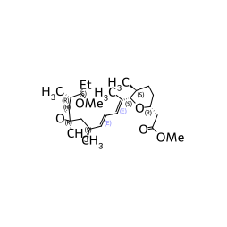 CC[C@H](OC)[C@@H](C)[C@H]1O[C@]1(C)C[C@H](C)/C=C/C=C(\C)[C@H]1O[C@@H](CC(=O)OC)CC[C@@H]1C